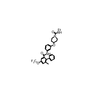 CCNC(=O)N1CCC(Oc2cccc(NC(=O)c3cc(OC(F)(F)F)cc(C)c3-c3ccccc3)c2)CC1